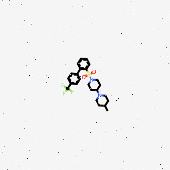 CC1CCN(C2CCN(S(=O)(=O)c3ccccc3-c3ccc(C(F)(F)F)cc3)CC2)CC1